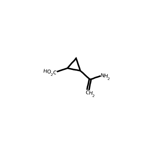 C=C(N)C1CC1C(=O)O